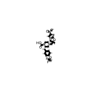 CC1(CN2CCN(C(=O)O)[C@@H](Cc3ccc(OC(F)(F)F)cc3)C2)Cn2cc([N+](=O)[O-])nc2O1